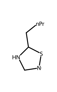 CCCCC1NC[N]S1